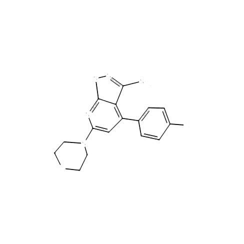 Nc1n[nH]c2nc(N3CCOCC3)cc(-c3ccc(Cl)cc3)c12